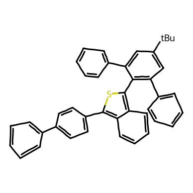 CC(C)(C)c1cc(-c2ccccc2)c(-c2sc(-c3ccc(-c4ccccc4)cc3)c3ccccc23)c(-c2ccccc2)c1